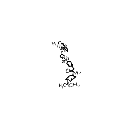 C=CS(=O)(=O)NC[C@H]1CCN(S(=O)(=O)c2ccc(CC(=O)NC3CCN(C(C)C)CC3)cc2)C1